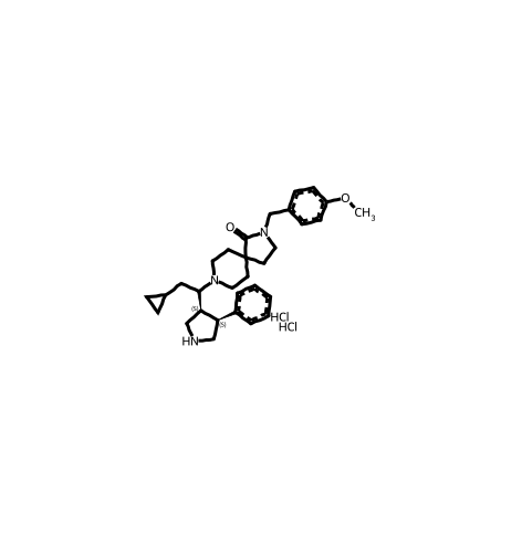 COc1ccc(CN2CCC3(CCN(C(CC4CC4)[C@@H]4CNC[C@@H]4c4ccccc4)CC3)C2=O)cc1.Cl.Cl